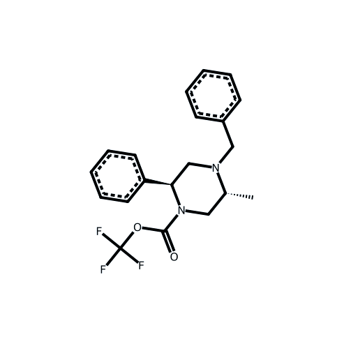 C[C@@H]1CN(C(=O)OC(F)(F)F)[C@@H](c2ccccc2)CN1Cc1ccccc1